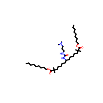 CCCCCCCCCOC(=O)C(C)(C)CCCCCC(CCCCCC(C)(C)C(=O)OCCCCCCCCC)NC(=O)NCCCN(C)C